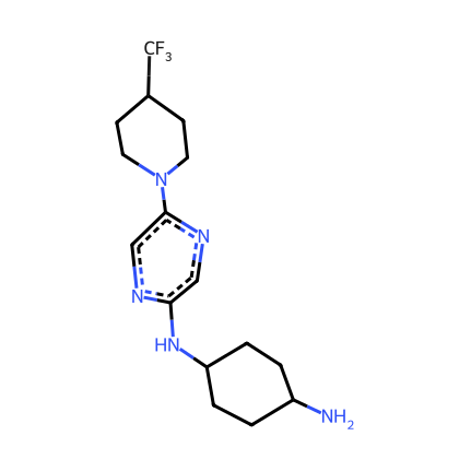 NC1CCC(Nc2cnc(N3CCC(C(F)(F)F)CC3)cn2)CC1